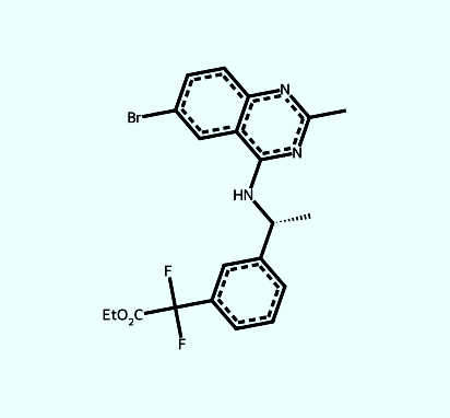 CCOC(=O)C(F)(F)c1cccc([C@@H](C)Nc2nc(C)nc3ccc(Br)cc23)c1